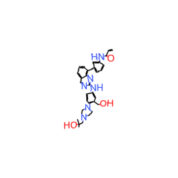 C=CC(=O)Nc1cccc(-c2cccc3cnc(Nc4ccc(N5CCN(CC(C)(C)O)CC5)c(CO)c4)nc23)c1